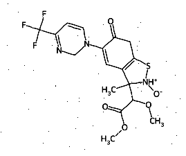 COC(=O)C(OC)C1(C)C2=C(CC(=O)C(N3C=CC(C(F)(F)F)=NC3)=C2)S[NH+]1[O-]